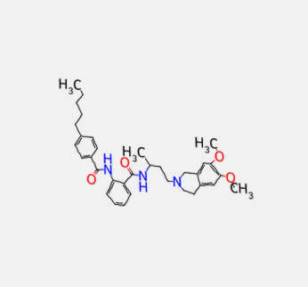 CCCCCc1ccc(C(=O)Nc2ccccc2C(=O)NC(C)CCN2CCc3cc(OC)c(OC)cc3C2)cc1